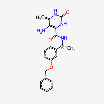 C=C1NC(=O)NC(C(=O)N[C@H](C)c2cccc(OCc3ccccc3)c2)=C1N